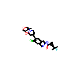 CC(C)(F)C1CC1C(=O)Nc1cc2cc(C3CCN(C4(C)COCC4O)CC3)c(Cl)cc2cn1